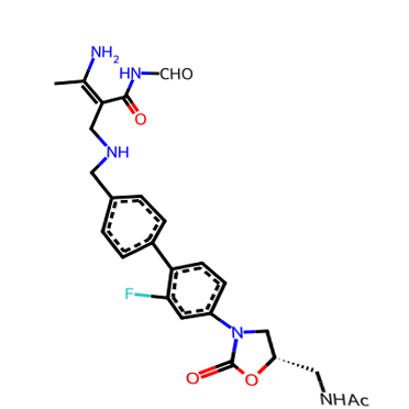 CC(=O)NC[C@H]1CN(c2ccc(-c3ccc(CNC/C(C(=O)NC=O)=C(\C)N)cc3)c(F)c2)C(=O)O1